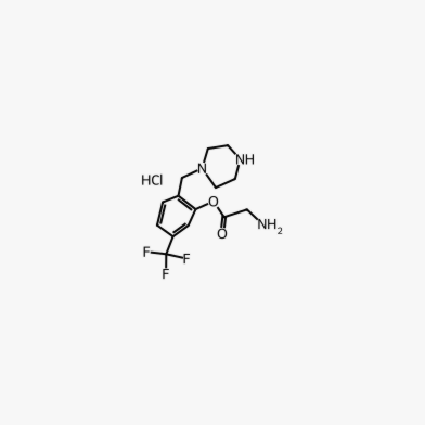 Cl.NCC(=O)Oc1cc(C(F)(F)F)ccc1CN1CCNCC1